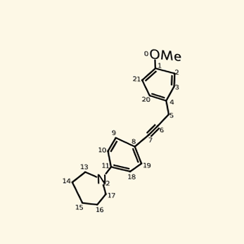 COc1ccc(CC#Cc2ccc(N3CCCCC3)cc2)cc1